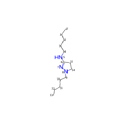 CCCCCNC1=NN(CCCCC)CC1